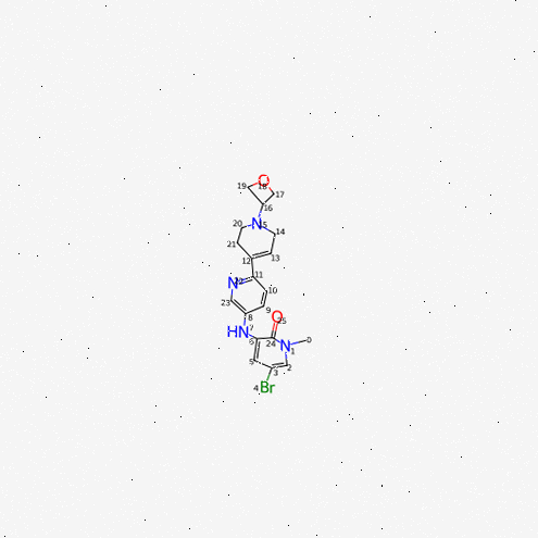 Cn1cc(Br)cc(Nc2ccc(C3=CCN(C4COC4)CC3)nc2)c1=O